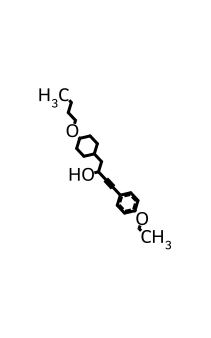 CCCCOC1CCC(CC(O)C#Cc2ccc(OCC)cc2)CC1